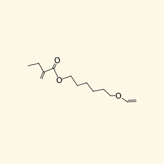 C=COCCCCCCOC(=O)C(=C)CC